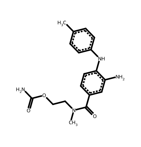 Cc1ccc(Nc2ccc(C(=O)N(C)CCOC(N)=O)cc2N)cc1